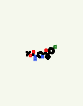 CC(C)(C)OC(=O)Nc1ccc(C(=O)C2(c3ccc(Cl)cc3)CCC2)nc1